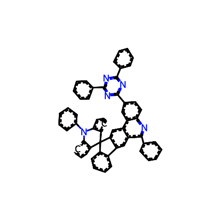 c1ccc(-c2nc(-c3ccccc3)nc(-c3ccc4nc(-c5ccccc5)c5cc6c(cc5c4c3)C3(c4ccccc4-6)c4ccccc4N(c4ccccc4)c4ccccc43)n2)cc1